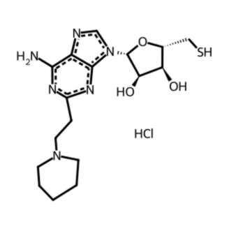 Cl.Nc1nc(CCN2CCCCC2)nc2c1ncn2[C@@H]1O[C@H](CS)[C@@H](O)[C@H]1O